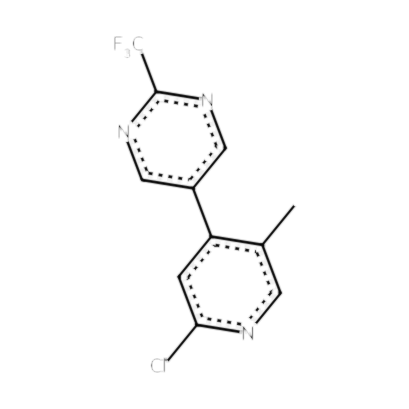 Cc1cnc(Cl)cc1-c1cnc(C(F)(F)F)nc1